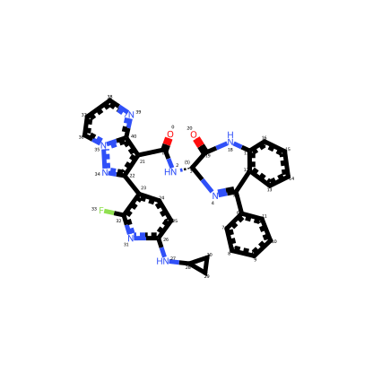 O=C(N[C@H]1N=C(c2ccccc2)c2ccccc2NC1=O)c1c(-c2ccc(NC3CC3)nc2F)nn2cccnc12